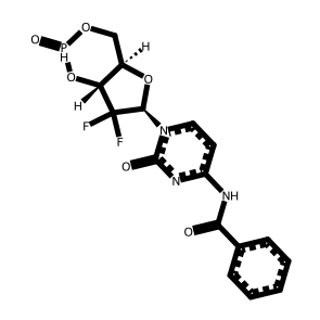 O=C(Nc1ccn([C@@H]2O[C@@H]3CO[PH](=O)O[C@H]3C2(F)F)c(=O)n1)c1ccccc1